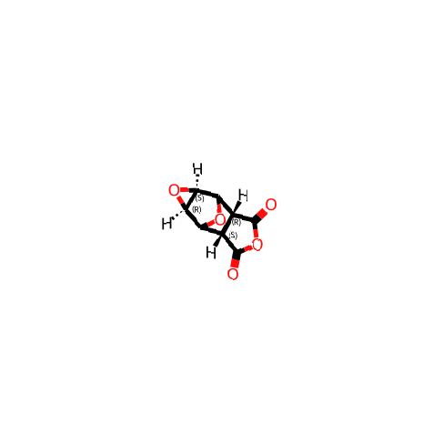 O=C1OC(=O)[C@H]2C3OC([C@H]4O[C@@H]34)[C@@H]12